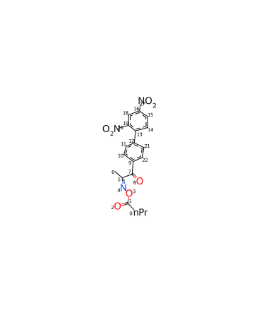 CCCC(=O)O/N=C(/C)C(=O)c1ccc(-c2ccc([N+](=O)[O-])cc2[N+](=O)[O-])cc1